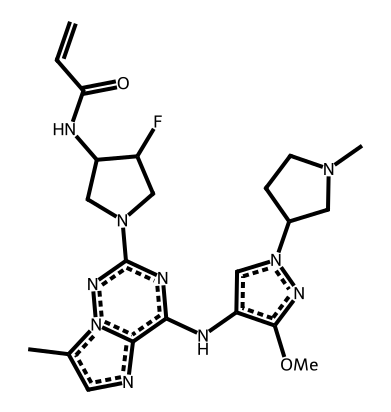 C=CC(=O)NC1CN(c2nc(Nc3cn(C4CCN(C)C4)nc3OC)c3ncc(C)n3n2)CC1F